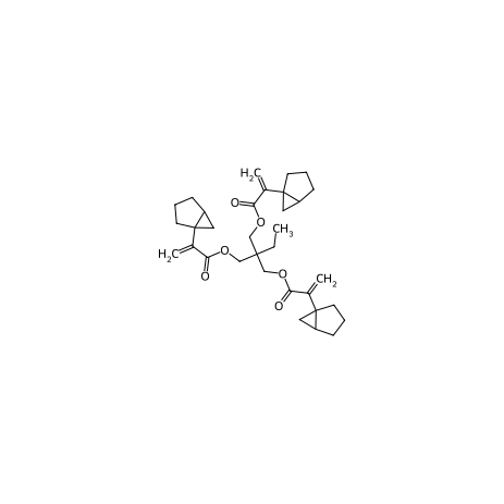 C=C(C(=O)OCC(CC)(COC(=O)C(=C)C12CCCC1C2)COC(=O)C(=C)C12CCCC1C2)C12CCCC1C2